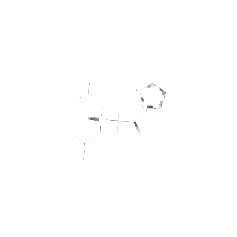 CC(C)OP(=O)(OC(C)C)C(Cl)(Cl)C(=O)n1cccn1